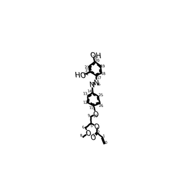 C=CC(=O)OC(COC)COc1ccc(N=Nc2ccc(O)cc2O)cc1